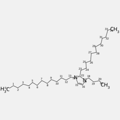 CCCCCCCCCCCCCC[n+]1ccn(CCCC)c1CCCCCCCCCCCC